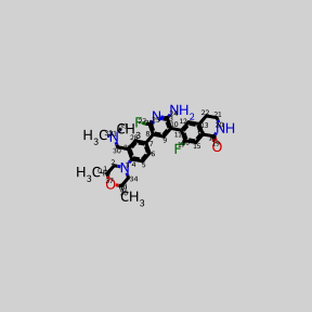 C[C@@H]1CN(c2ccc(-c3cc(-c4cc5c(cc4F)C(=O)NCC5)c(N)nc3F)cc2CN(C)C)C[C@H](C)O1